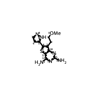 COCCc1c(-c2ccn[nH]2)sc2c(N)nc(N)nc12